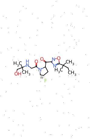 CCC(C)(C)c1nc(C(=O)C2C[C@H](F)CN2C(=O)CNC(C)(C)CO)no1